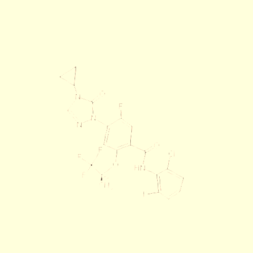 C[C@H](Oc1cc(-n2ncn(C3CC3)c2=O)c(F)cc1C(=O)Nc1c(F)cccc1Cl)C(F)(F)F